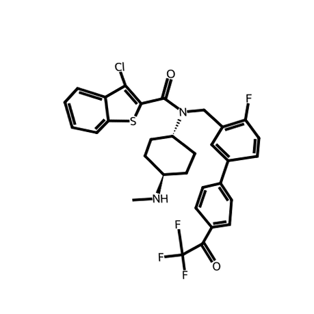 CN[C@H]1CC[C@H](N(Cc2cc(-c3ccc(C(=O)C(F)(F)F)cc3)ccc2F)C(=O)c2sc3ccccc3c2Cl)CC1